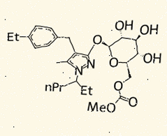 CCCC(CC)n1nc(O[C@@H]2O[C@H](COC(=O)OC)[C@@H](O)[C@H](O)[C@H]2O)c(Cc2ccc(CC)cc2)c1C